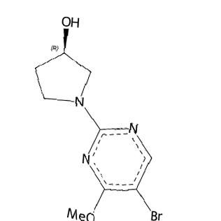 COc1nc(N2CC[C@@H](O)C2)ncc1Br